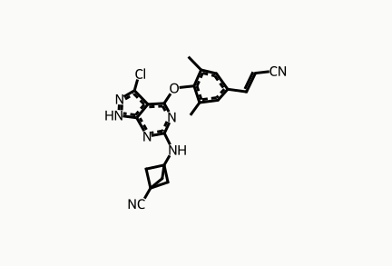 Cc1cc(/C=C/C#N)cc(C)c1Oc1nc(NC23CC(C#N)(C2)C3)nc2[nH]nc(Cl)c12